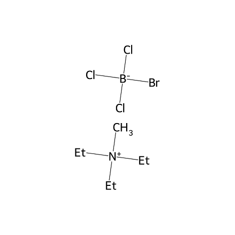 CC[N+](C)(CC)CC.Cl[B-](Cl)(Cl)Br